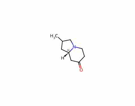 CC1C[C@H]2CC(=O)CCN2C1